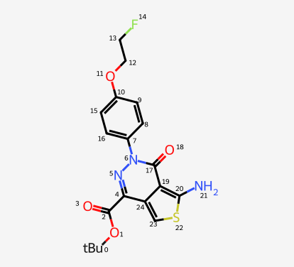 CC(C)(C)OC(=O)c1nn(-c2ccc(OCCF)cc2)c(=O)c2c(N)scc12